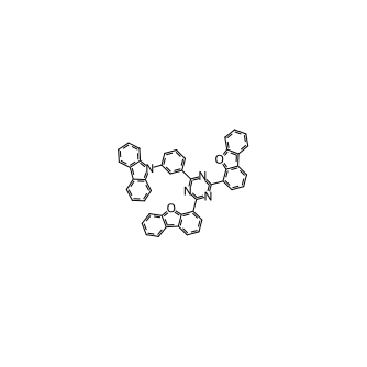 c1cc(-c2nc(-c3cccc4c3oc3ccccc34)nc(-c3cccc4c3oc3ccccc34)n2)cc(-n2c3ccccc3c3ccccc32)c1